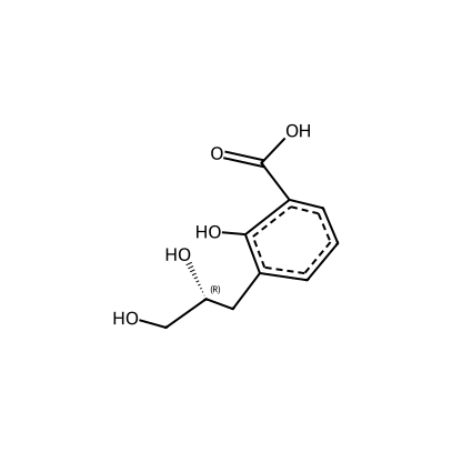 O=C(O)c1cccc(C[C@@H](O)CO)c1O